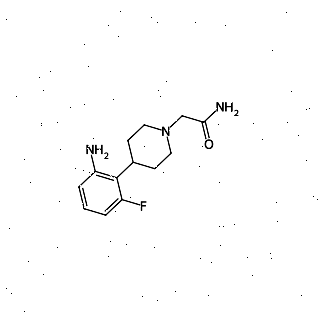 NC(=O)CN1CCC(c2c(N)cccc2F)CC1